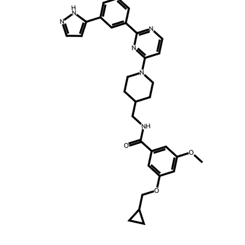 COc1cc(OCC2CC2)cc(C(=O)NCC2CCN(c3ccnc(-c4cccc(-c5ccn[nH]5)c4)n3)CC2)c1